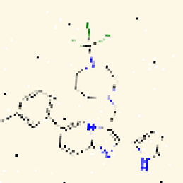 Cc1cccc(-c2ccc3nc(-c4ccc[nH]4)c(CN4CCCN(C(F)(F)F)CC4)n3c2)c1